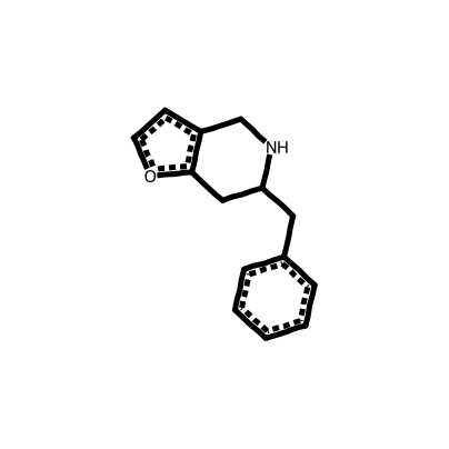 c1ccc(CC2Cc3occc3CN2)cc1